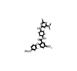 COc1ccc(Oc2ccc([N+](=O)[O-])cc2C(=O)NC2CCC(Nc3cc(N(C)C)nc(C)n3)CC2)cc1